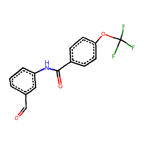 O=Cc1cccc(NC(=O)c2ccc(OC(F)(F)F)cc2)c1